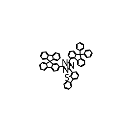 c1ccc(C2(c3ccccc3)c3ccccc3-c3c(-c4nc(-c5ccc6c(c5)C5(c7ccccc7-c7ccccc75)c5ccccc5-6)nc(-c5cccc6c5sc5ccccc56)n4)cccc32)cc1